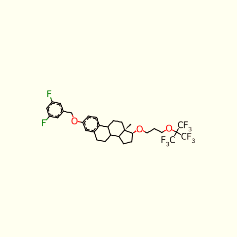 C[C@]12CCC3c4ccc(OCc5cc(F)cc(F)c5)cc4CCC3C1CC[C@@H]2OCCCOC(C(F)(F)F)(C(F)(F)F)C(F)(F)F